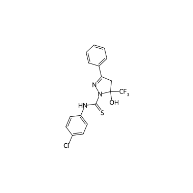 OC1(C(F)(F)F)CC(c2ccccc2)=NN1C(=S)Nc1ccc(Cl)cc1